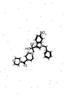 O=C(C1CCN(CC(O)(c2cn(Cc3ccccc3)c3cc([N+](=O)[O-])ccc23)C(F)(F)F)CC1)N1CCOCC1